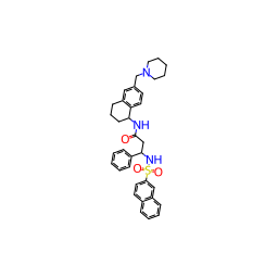 O=C(CC(NS(=O)(=O)c1ccc2ccccc2c1)c1ccccc1)NC1CCCc2cc(CN3CCCCC3)ccc21